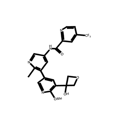 COc1ncc(-c2cc(NC(=O)c3cc(C(F)(F)F)ccn3)cnc2C)cc1C1(O)COC1